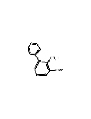 CC(=O)Oc1cccc(-c2ccccc2)c1C(=O)O